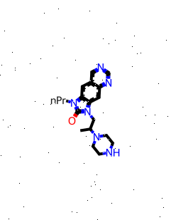 CCCn1c(=O)n(CC(C)N2CCNCC2)c2cc3ncncc3cc21